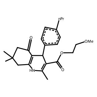 CCCc1ccc(C2C(C(=O)OCCOC)=C(C)NC3=C2C(=O)CC(C)(C)C3)cc1